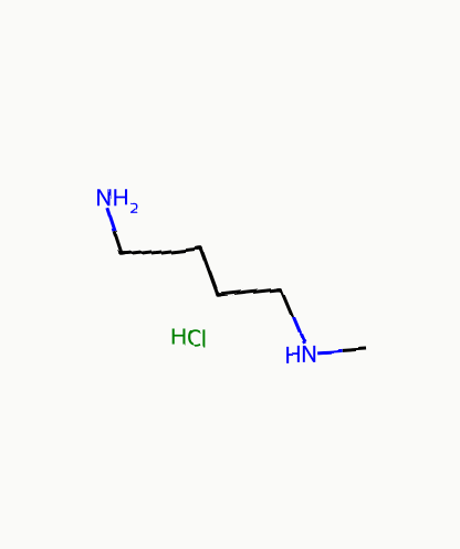 CNCCCCN.Cl